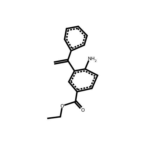 C=C(c1ccccc1)c1cc(C(=O)OCC)ccc1N